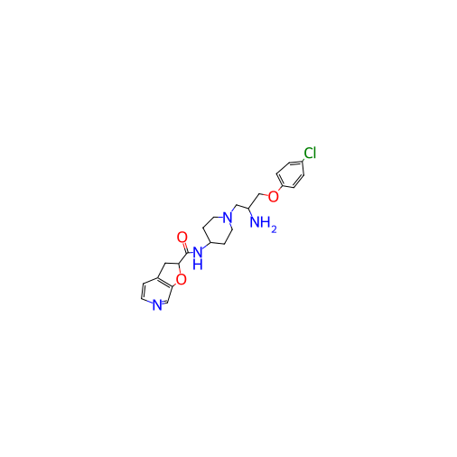 NC(COc1ccc(Cl)cc1)CN1CCC(NC(=O)C2Cc3ccncc3O2)CC1